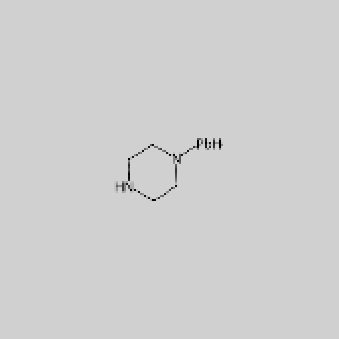 [PbH][N]1CCNCC1